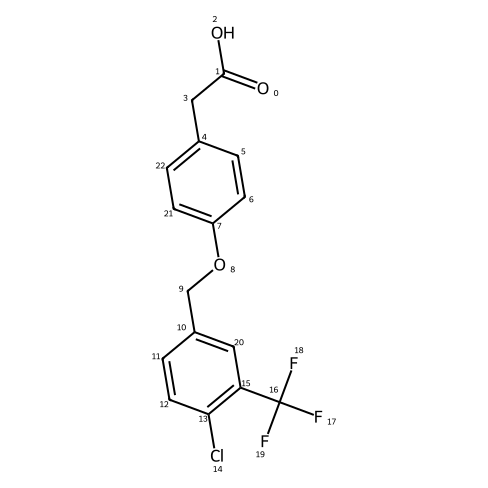 O=C(O)Cc1ccc(OCc2ccc(Cl)c(C(F)(F)F)c2)cc1